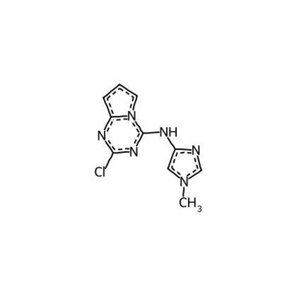 Cn1cnc(Nc2nc(Cl)nc3cccn23)c1